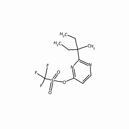 CCC(C)(CC)c1nccc(OS(=O)(=O)C(F)(F)F)n1